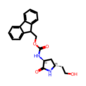 O=C(N[C@H]1C[C@H](CCO)NC1=O)OCC1c2ccccc2-c2ccccc21